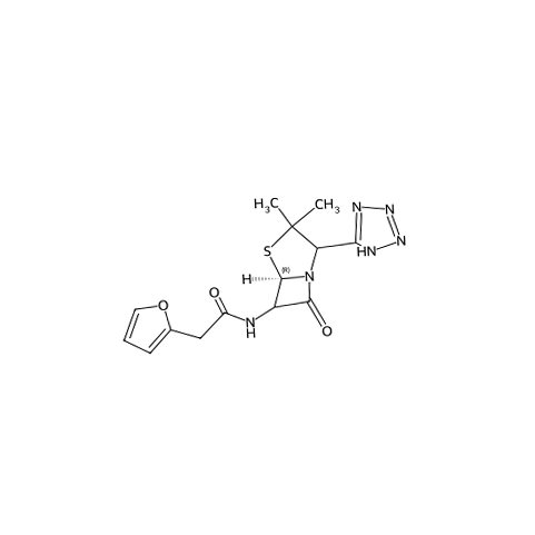 CC1(C)S[C@@H]2C(NC(=O)Cc3ccco3)C(=O)N2C1c1nnn[nH]1